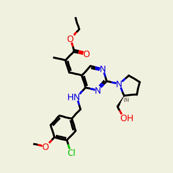 CCOC(=O)C(C)=Cc1cnc(N2CCC[C@H]2CO)nc1NCc1ccc(OC)c(Cl)c1